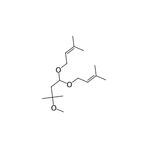 COC(C)(C)CC(OCC=C(C)C)OCC=C(C)C